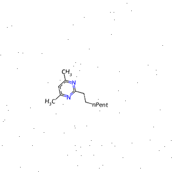 CCCCCCCc1nc(C)cc(C)n1